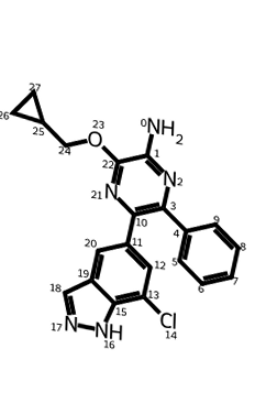 Nc1nc(-c2ccccc2)c(-c2cc(Cl)c3[nH]ncc3c2)nc1OCC1CC1